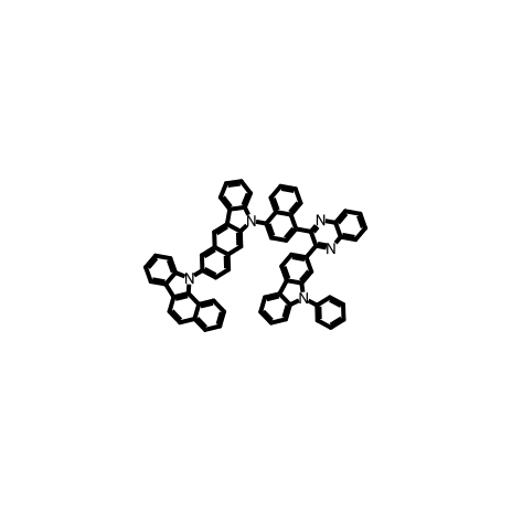 c1ccc(-n2c3ccccc3c3ccc(-c4nc5ccccc5nc4-c4ccc(-n5c6ccccc6c6cc7cc(-n8c9ccccc9c9ccc%10ccccc%10c98)ccc7cc65)c5ccccc45)cc32)cc1